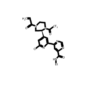 C=CC(=O)N1CCN(C(=O)C(F)(F)F)[C@@H](c2cc(Cl)nc(-c3cc(C(=O)NCC)ncn3)c2)C1